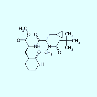 COC(=O)[C@H](C[C@@H]1CCCNC1=O)NC(=O)[C@H](CC1CC1)N(C)C(=O)CC(C)(C)C